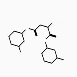 CC(C)(C)C1CCCC(OC(=O)CC(C(=O)OC2CCCC(C(C)(C)C)C2)S(=O)(=O)O)C1